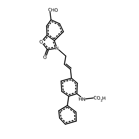 O=Cc1ccc2c(c1)oc(=O)n2CC=Cc1ccc(-c2ccccc2)c(NC(=O)O)c1